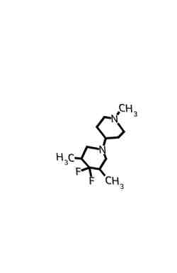 CC1CN(C2CCN(C)CC2)CC(C)C1(F)F